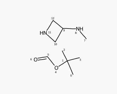 CC(C)(C)OC=O.CNC1CNC1